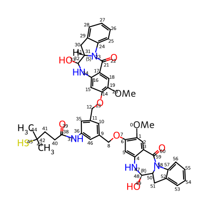 COc1cc2c(cc1OCc1cc(COc3cc4c(cc3OC)C(=O)N3c5ccccc5C[C@H]3C(O)N4)cc(NC(=O)CCC(C)(C)S)c1)N[C@H](O)C1Cc3ccccc3N1C2=O